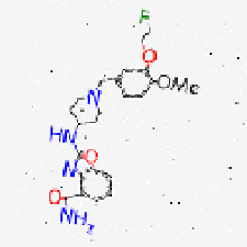 COc1ccc(CN2CCC(Nc3nc4c(C(N)=O)[c]ccc4o3)CC2)cc1OCCF